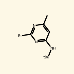 CCc1nc(C)cc(NC(C)(C)C)n1